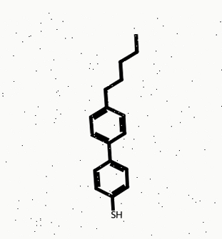 CCCCCc1ccc(-c2ccc(S)cc2)cc1